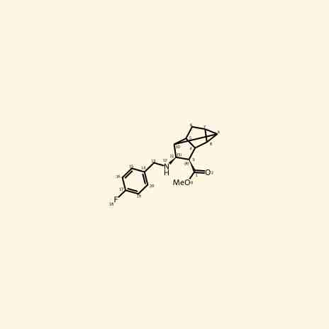 COC(=O)[C@@H]1C2C3CC4C2C4C3[C@@H]1NCc1ccc(F)cc1